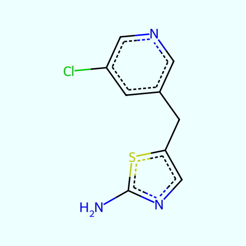 Nc1ncc(Cc2cncc(Cl)c2)s1